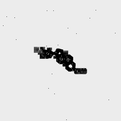 C[C@]12CCC(C=O)CC1=CC[C@@H]1[C@@H]2CC[C@]2(C)C(c3c[nH]c(N)n3)=CC[C@@H]12